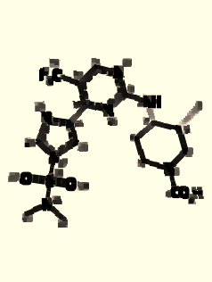 C[C@@H]1CN(C(=O)O)CC[C@@H]1Nc1ncc(C(F)(F)F)c(-c2cn(S(=O)(=O)N(C)C)cn2)n1